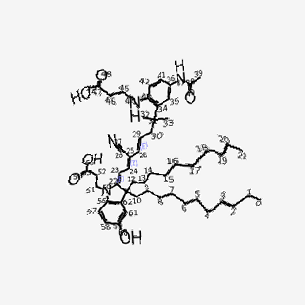 CCCCCCCCCCCC1(CCCCCCCCCC)\C(=C/C=C(C#N)/C=C/CC(C)(C)c2cc(NC(C)=O)ccc2NCCC(=O)O)N(CCC(=O)O)c2ccc(O)cc21